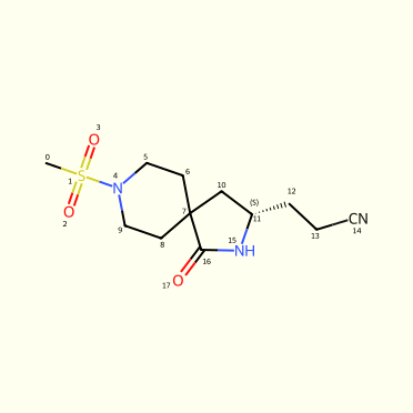 CS(=O)(=O)N1CCC2(CC1)C[C@H](CCC#N)NC2=O